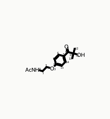 CC(=O)NCCOc1ccc(C(=O)C(C)(C)O)cc1